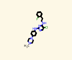 CN1CCN(c2ccc(Nc3ncc(Cl)c(NCCc4ccccc4F)n3)cc2)CC1